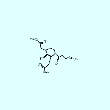 COC(=O)CC1C(=O)N(CC(=O)OC)CCN1C(=O)CCC(=O)O